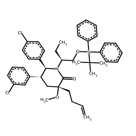 C=CCC[C@@]1(OC)C[C@H](c2cccc(Cl)c2)[C@@H](c2ccc(Cl)cc2)N([C@@H](CC)CO[Si](c2ccccc2)(c2ccccc2)C(C)(C)C)C1=O